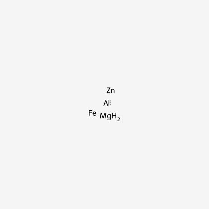 [Al].[Fe].[MgH2].[Zn]